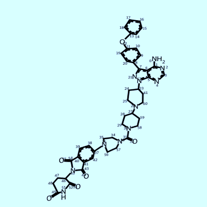 Nc1ncnc2c1c(-c1ccc(Oc3ccccc3)cc1)nn2C1CCN(C2CCN(C(=O)N3CCN(c4ccc5c(c4)C(=O)N(C4CCC(=O)NC4=O)C5=O)CC3)CC2)CC1